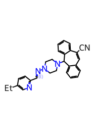 CCc1ccc(/C=N/N2CCN(C3c4ccccc4C=C(C#N)c4ccccc43)CC2)nc1